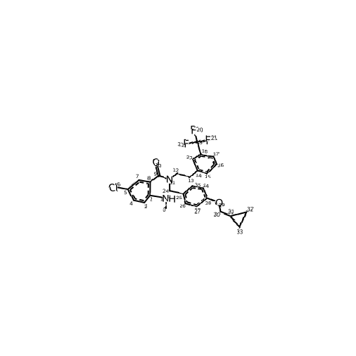 CNc1ccc(Cl)cc1C(=O)N(CCc1cccc(C(F)(F)F)c1)Cc1ccc(OCC2CC2)cc1